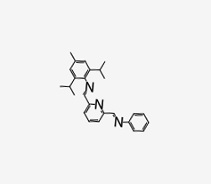 Cc1cc(C(C)C)c(/N=C/c2cccc(/C=N/c3ccccc3)n2)c(C(C)C)c1